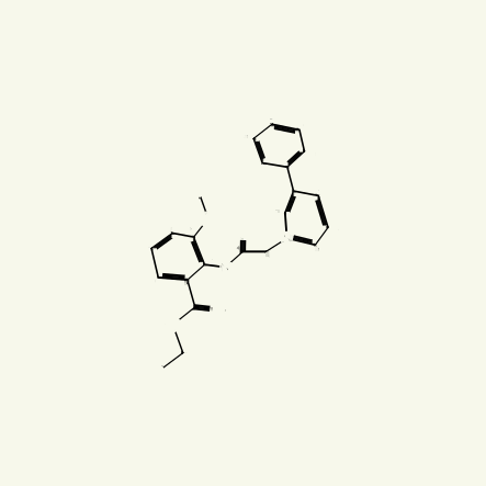 CCOC(=O)c1cccc(OC)c1NC(=O)C[n+]1cccc(-c2ccccc2)c1